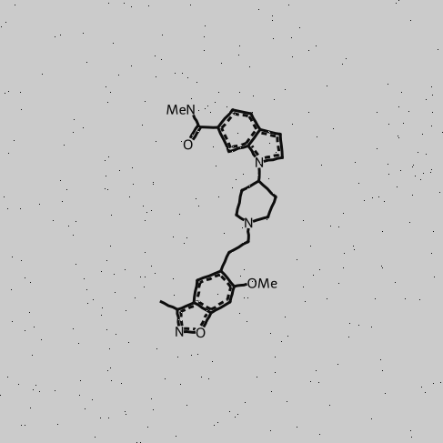 CNC(=O)c1ccc2ccn(C3CCN(CCc4cc5c(C)noc5cc4OC)CC3)c2c1